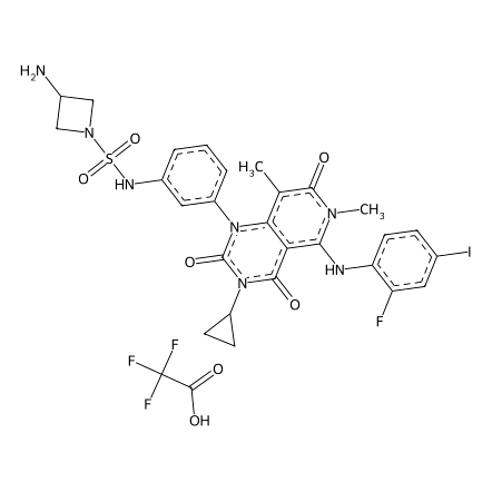 Cc1c(=O)n(C)c(Nc2ccc(I)cc2F)c2c(=O)n(C3CC3)c(=O)n(-c3cccc(NS(=O)(=O)N4CC(N)C4)c3)c12.O=C(O)C(F)(F)F